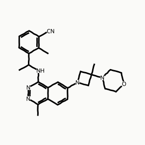 Cc1c(C#N)cccc1C(C)Nc1nnc(C)c2ccc(N3CC(C)(N4CCOCC4)C3)cc12